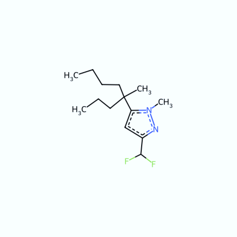 CCCCC(C)(CCC)c1cc(C(F)F)nn1C